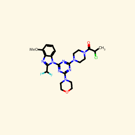 COc1cccc2c1nc(C(F)F)n2-c1nc(N2CCOCC2)nc(N2CCN(C(=O)C(C)Cl)CC2)n1